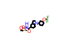 CS1(NC(=O)c2ccc3c(ccn3-c3cccc(OC(F)F)c3)c2)C=COO1